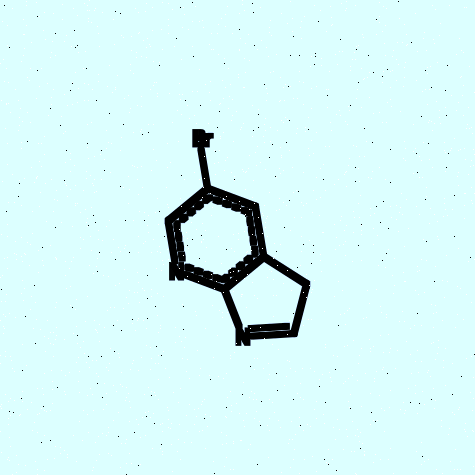 Brc1cnc2c(c1)CC=N2